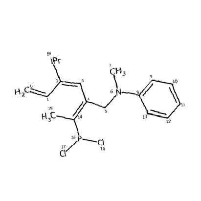 C=C/C(=C\C(CN(C)c1ccccc1)=C(/C)P(Cl)Cl)C(C)C